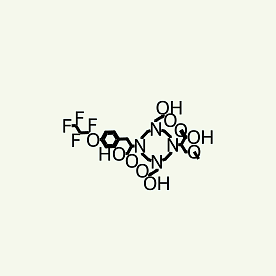 COCC(C(=O)O)N1CCN(CC(=O)O)CCN(C(Cc2ccc(OC(F)C(F)C(F)F)cc2)C(=O)O)CCN(CC(=O)O)CC1